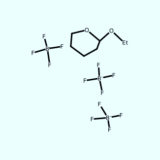 CCOC1CCCCO1.F[B-](F)(F)F.F[B-](F)(F)F.F[B-](F)(F)F